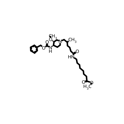 COC(=O)CCCCCCCNC(=O)CCCC(C)CN1CC[C@@H](NC(=O)OCc2ccccc2)[C@@H](OC)C1